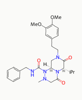 COc1ccc(CCN2C[C@H]3N(C(=O)CN(C)N3C(=O)NCc3ccccc3)[C@@H](C(C)C)C2=O)cc1OC